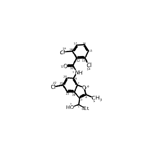 CCC(O)c1c(C)oc2c(NC(=O)c3c(Cl)cccc3Cl)cc(Cl)cc12